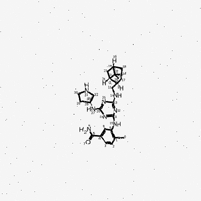 Cc1ccc(C(N)=O)cc1Nc1nc(NC[C@@H]2CC[C@H]3C[C@@H]2C3(C)C)nc(N[C@@H]2CCNC2)n1